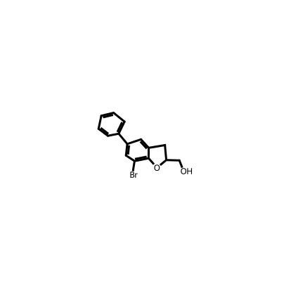 OCC1Cc2cc(-c3ccccc3)cc(Br)c2O1